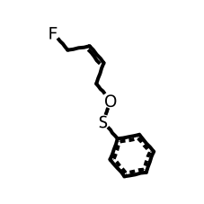 FC/C=C\COSc1ccccc1